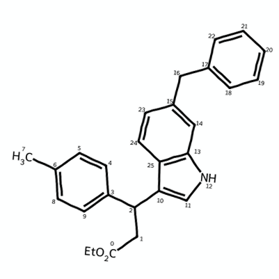 CCOC(=O)CC(c1ccc(C)cc1)c1c[nH]c2cc(Cc3ccccc3)ccc12